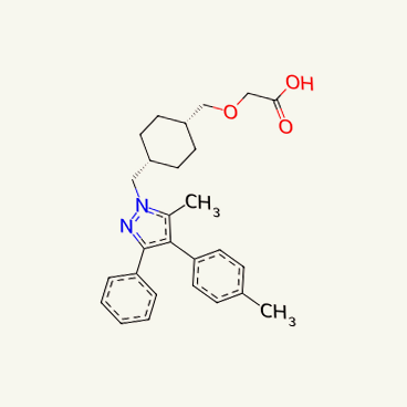 Cc1ccc(-c2c(-c3ccccc3)nn(C[C@H]3CC[C@@H](COCC(=O)O)CC3)c2C)cc1